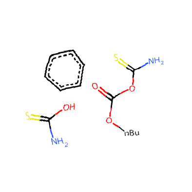 CCCCOC(=O)OC(N)=S.NC(O)=S.c1ccccc1